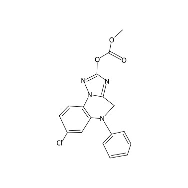 COC(=O)Oc1nc2n(n1)-c1ccc(Cl)cc1N(c1ccccc1)C2